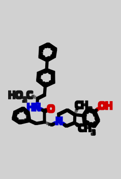 C[C@H]1CN(C[C@H](Cc2ccccc2)C(=O)N[C@@H](Cc2ccc(-c3ccccc3)cc2)C(=O)O)CC[C@@]1(C)c1cccc(O)c1